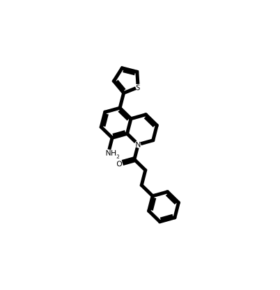 Nc1ccc(-c2cccs2)c2c1N(C(=O)CCc1ccccc1)CC=C2